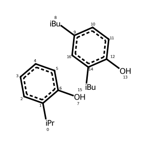 CC(C)c1ccccc1O.CCC(C)c1ccc(O)c(C(C)CC)c1